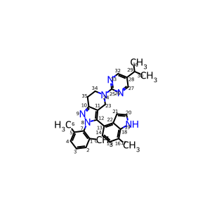 Cc1cccc(C)c1-n1nc2c(c1-c1ccc(C)c3[nH]ccc13)CN(c1ncc(C(C)C)cn1)CC2